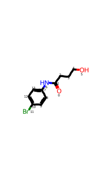 O=C(CCCO)Nc1ccc(Br)cc1